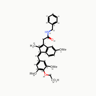 COc1ccc2c(c1)C(CC(=O)NCc1ccccc1)=C(C)/C2=C/c1cc(OC)c(OCC(=O)O)c(OC)c1